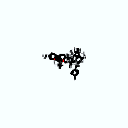 [2H]C([2H])(C)N(CCN(C(=O)C([2H])([2H])n1c(SCc2ccc(F)cc2)nc(=O)c2c1C([2H])([2H])C([2H])([2H])C2([2H])[2H])C([2H])(C)c1ccc(-c2ccc(C(F)(F)F)cc2)cc1)C([2H])([2H])C